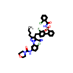 CCCCc1nn(-c2cc(NC(=O)N3CCOCC3)ccc2Cl)c(C#N)c1Cc1ccc(-c2ccccc2S(=O)(=O)NC(=O)c2ccccc2Cl)cc1F